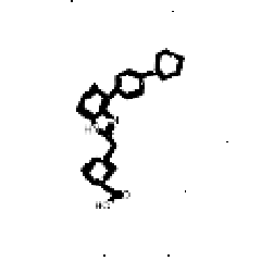 O=C(O)c1cccc(Cc2nc3c(-c4ccc(C5=CCCCC5)cc4)cccc3[nH]2)c1